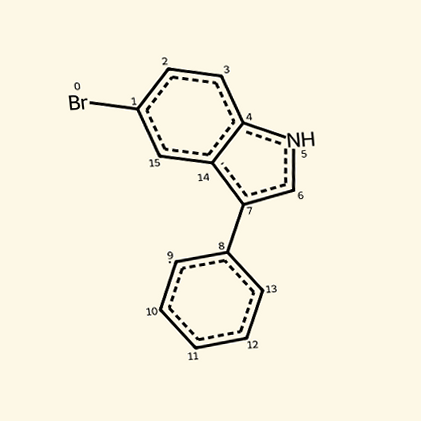 Brc1ccc2[nH]cc(-c3[c]cccc3)c2c1